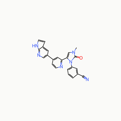 Cn1cc(-c2cc(-c3cnc4[nH]ccc4c3)ccn2)n(-c2cccc(C#N)c2)c1=O